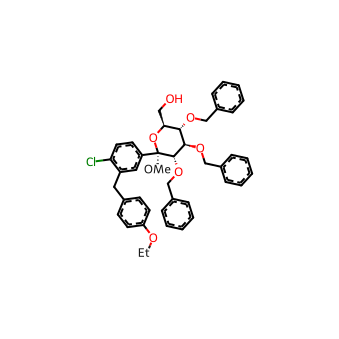 CCOc1ccc(Cc2cc([C@@]3(OC)O[C@@H](CO)[C@H](OCc4ccccc4)[C@@H](OCc4ccccc4)[C@@H]3OCc3ccccc3)ccc2Cl)cc1